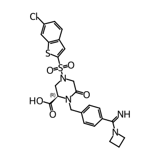 N=C(c1ccc(CN2C(=O)CN(S(=O)(=O)c3cc4ccc(Cl)cc4s3)C[C@@H]2C(=O)O)cc1)N1CCC1